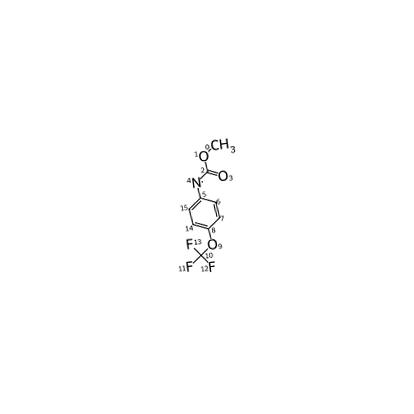 COC(=O)[N]c1ccc(OC(F)(F)F)cc1